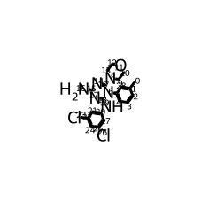 Cc1cccc(N2C(N3CCOCC3)=NC(N)=NC2Nc2cc(Cl)cc(Cl)c2)c1